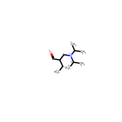 [CH2]CC(C=O)CN(C(C)C)C(C)C